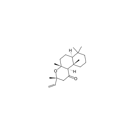 C=C[C@@]1(C)CC(=O)[C@@H]2[C@@]3(C)CCCC(C)(C)[C@@H]3CC[C@@]2(C)O1